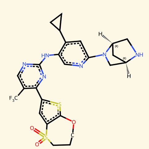 O=S1(=O)CCCOc2sc(-c3nc(Nc4cnc(N5C[C@H]6C[C@@H]5CN6)cc4C4CC4)ncc3C(F)(F)F)cc21